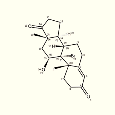 C[C@]12CCC(=O)C=C1CC[C@H]1[C@@H]3CCC(=O)[C@@]3(C)C[C@H](O)[C@@]12Br